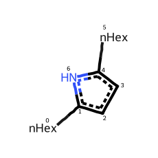 CCCCCCc1ccc(CCCCCC)[nH]1